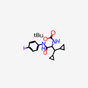 CC(C)(C)OC(=O)NC(C(=O)Nc1ccc(I)cc1)C(C1CC1)C1CC1